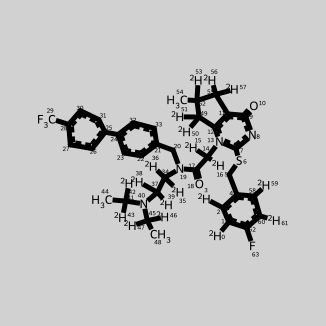 [2H]c1c([2H])c(CSc2nc(=O)c3c(n2C([2H])([2H])C(=O)N(Cc2ccc(-c4ccc(C(F)(F)F)cc4)cc2)C([2H])([2H])C([2H])([2H])N(C([2H])([2H])C)C([2H])([2H])C)C([2H])([2H])C([2H])(C)C3([2H])[2H])c([2H])c([2H])c1F